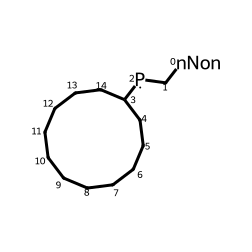 CCCCCCCCCC[P]C1CCCCCCCCCCC1